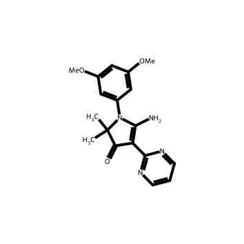 COc1cc(OC)cc(N2C(N)=C(c3ncccn3)C(=O)C2(C)C)c1